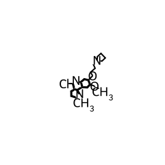 COc1cc2c(cc1OCCCN1CCCC1)nc(Cl)c1ccc(C)nc12